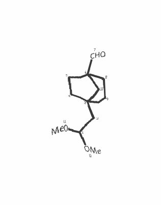 COC(CC12CCC(C=O)(CC1)C2)OC